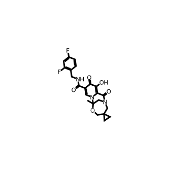 CC12CN(CC3(CC3)CO1)C(=O)c1c(O)c(=O)c(C(=O)NCc3ccc(F)cc3F)cn12